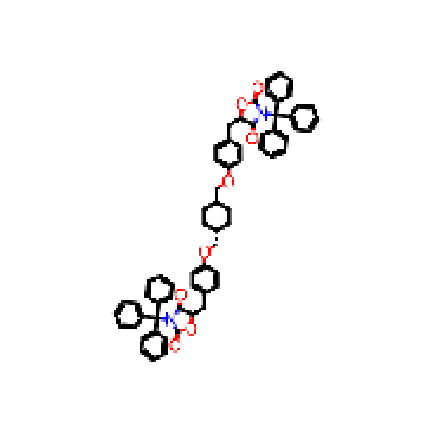 O=C1OC(Cc2ccc(OC[C@H]3CC[C@H](COc4ccc(CC5OC(=O)N(C(c6ccccc6)(c6ccccc6)c6ccccc6)C5=O)cc4)CC3)cc2)C(=O)N1C(c1ccccc1)(c1ccccc1)c1ccccc1